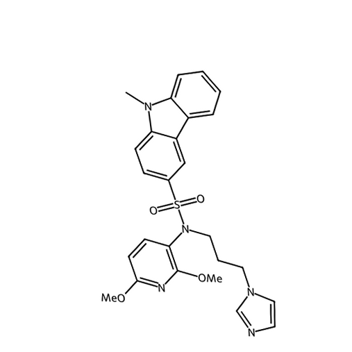 COc1ccc(N(CCCn2ccnc2)S(=O)(=O)c2ccc3c(c2)c2ccccc2n3C)c(OC)n1